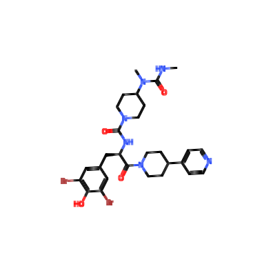 CNC(=O)N(C)C1CCN(C(=O)N[C@H](Cc2cc(Br)c(O)c(Br)c2)C(=O)N2CCC(c3ccncc3)CC2)CC1